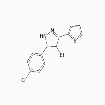 CCC1C(c2cccs2)=NNC1c1ccc(Cl)cc1